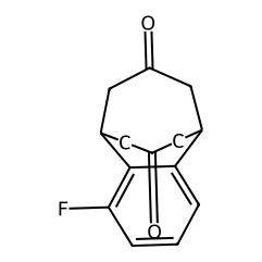 O=C1CC2CC(=O)CC(C1)c1c(F)cccc12